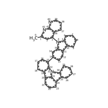 Cc1cc(-n2c3ccccc3c3ccc(-c4cccc5c6cccc7c8ccccc8n(c45)c76)cc32)c2cccnc2n1